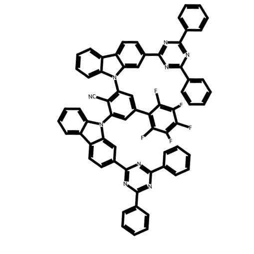 N#Cc1c(-n2c3ccccc3c3ccc(-c4nc(-c5ccccc5)nc(-c5ccccc5)n4)cc32)cc(-c2c(F)c(F)c(F)c(F)c2F)cc1-n1c2ccccc2c2ccc(-c3nc(-c4ccccc4)nc(-c4ccccc4)n3)cc21